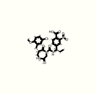 CC[C@@H](NC(=O)N1CC(=O)NC[C@H](Cc2cc(Cl)ccc2OC)C1=O)c1ccc(C(=O)O)c([N+](=O)[O-])c1